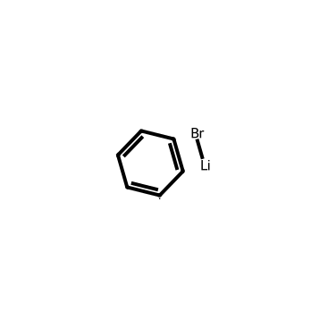 [Li][Br].[c]1ccccc1